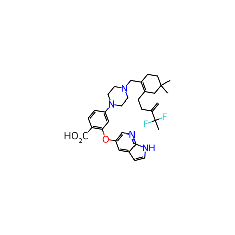 C=C(CCC1=C(CN2CCN(c3ccc(C(=O)O)c(Oc4cnc5[nH]ccc5c4)c3)CC2)CCC(C)(C)C1)C(C)(F)F